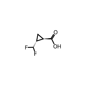 O=C(O)[C@@H]1C[C@H]1C(F)F